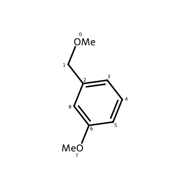 COCc1cccc(OC)c1